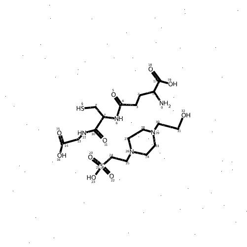 NC(CCC(=O)NC(CS)C(=O)NCC(=O)O)C(=O)O.O=S(=O)(O)CCN1CCN(CCO)CC1